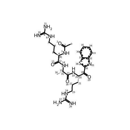 CC(=O)N[C@H](CCCNC(=N)N)C(=O)N[C@@H](C)C(=O)N[C@@H](CCCNC(=N)N)C(=O)c1nc2ccccc2s1